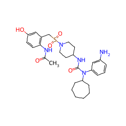 CC(=O)Nc1ccc(O)cc1CS(=O)(=O)N1CCC(NC(=O)N(c2cccc(N)c2)C2CCCCCC2)CC1